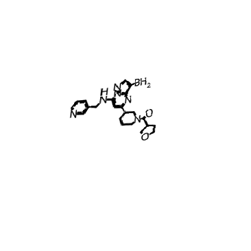 Bc1cnn2c(NCc3cccnc3)cc([C@@H]3CCCN(C(=O)C4CCOC4)C3)nc12